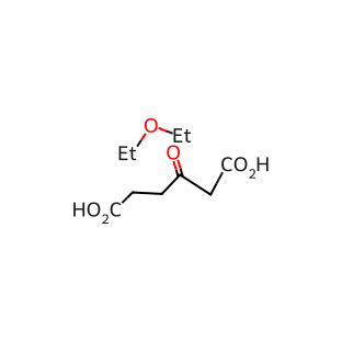 CCOCC.O=C(O)CCC(=O)CC(=O)O